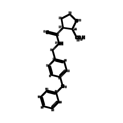 O=C(NCc1ccc(Oc2ccccc2)cc1)C1CCOC1C(=O)O